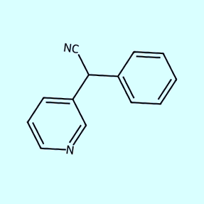 N#CC(c1ccccc1)c1cccnc1